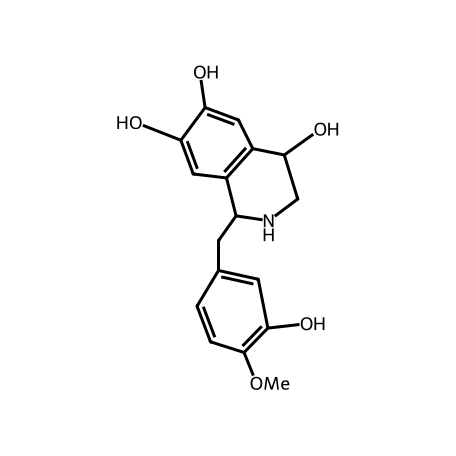 COc1ccc(CC2NCC(O)c3cc(O)c(O)cc32)cc1O